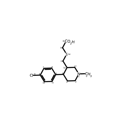 CN1CCC(c2ccc(Cl)cc2)C(CSCC(=O)O)C1